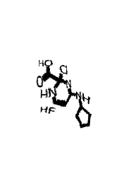 F.O=C(O)C1(Cl)N=C(NC2CCCC2)C=CN1